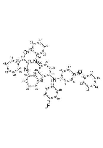 Fc1ccc(N(c2ccc(Oc3ccccc3)cc2)c2ccc(N3c4ccccc4Oc4c3n(-c3ccccc3)c3ccccc43)cc2)cc1